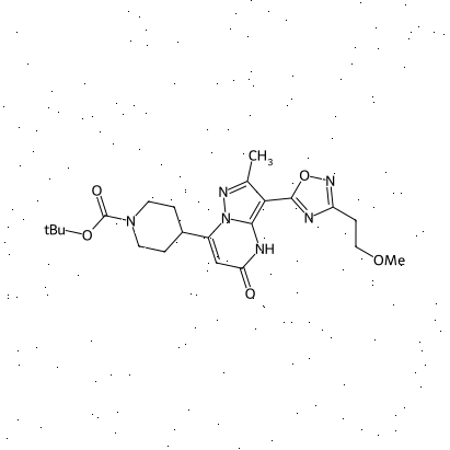 COCCc1noc(-c2c(C)nn3c(C4CCN(C(=O)OC(C)(C)C)CC4)cc(=O)[nH]c23)n1